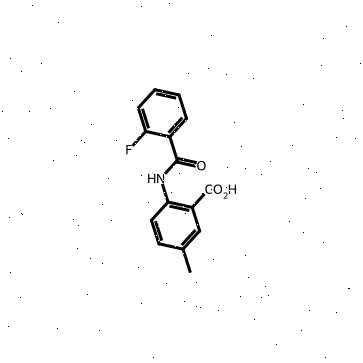 Cc1ccc(NC(=O)c2ccccc2F)c(C(=O)O)c1